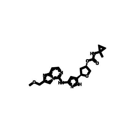 COCc1cn2c(Nc3cc([C@H]4C[C@H](OC(=O)NC5(C)CC5)CO4)[nH]n3)nccc2n1